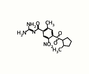 Cc1cc(S(=O)(=O)C2CCCC2C)c([N+](=O)[O-])cc1C(=O)N=C(N)N